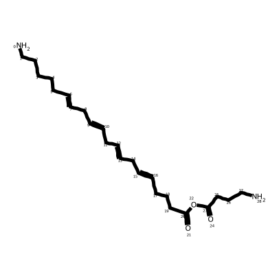 NCCCCCC=CCC=CCC=CCC=CCCCC(=O)OC(=O)CCCN